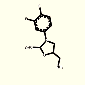 NCC1CN(c2ccc(F)c(F)c2)C(C=O)O1